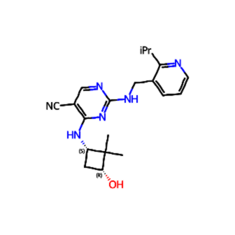 CC(C)c1ncccc1CNc1ncc(C#N)c(N[C@H]2C[C@@H](O)C2(C)C)n1